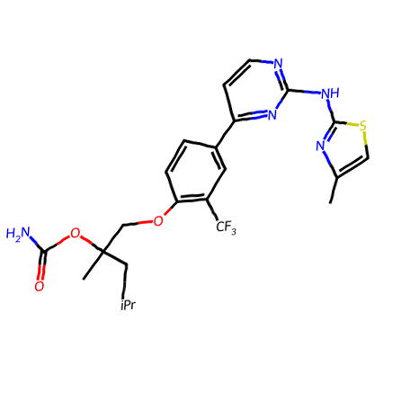 Cc1csc(Nc2nccc(-c3ccc(OCC(C)(CC(C)C)OC(N)=O)c(C(F)(F)F)c3)n2)n1